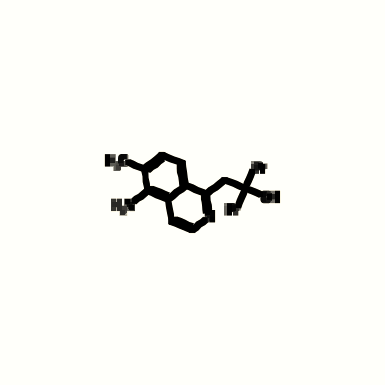 [CH2]C(C)C(O)(Cc1nccc2c(N)c(C)ccc12)C(C)C